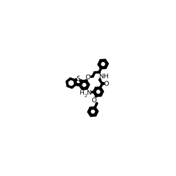 Nc1cc(C(=O)CNC(CCOc2cccc3c4c(sc23)CCCC4)c2ccccc2)ccc1OCc1ccccc1